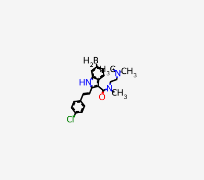 Bc1ccc2c(C(=O)N(C)CCN(C)C)c(/C=C/c3ccc(Cl)cc3)[nH]c2c1